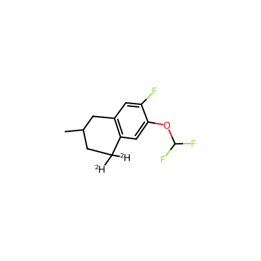 [2H]C1([2H])CC(C)Cc2cc(F)c(OC(F)F)cc21